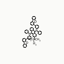 CC(C)(C)c1ccc2c(N(c3ccccc3)c3cccc(-c4cccc5c4oc4ccccc45)c3)c3ccccc3c(N(c3ccccc3)c3cccc(-c4cccc5c4oc4ccccc45)c3)c2c1